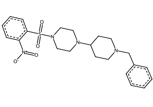 O=[N+]([O-])c1ccccc1S(=O)(=O)N1CCN(C2CCN(Cc3ccccc3)CC2)CC1